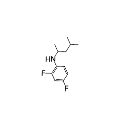 CC(C)CC(C)Nc1ccc(F)cc1F